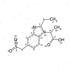 CCc1nc2cc(C[SH](=O)=O)ccc2n1C(C)C(=O)O